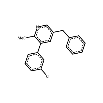 COc1ncc(Cc2c[c]ccc2)cc1-c1cccc(Cl)c1